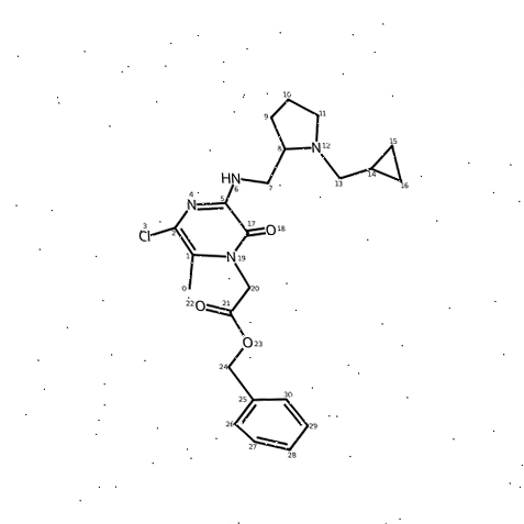 Cc1c(Cl)nc(NCC2CCCN2CC2CC2)c(=O)n1CC(=O)OCc1ccccc1